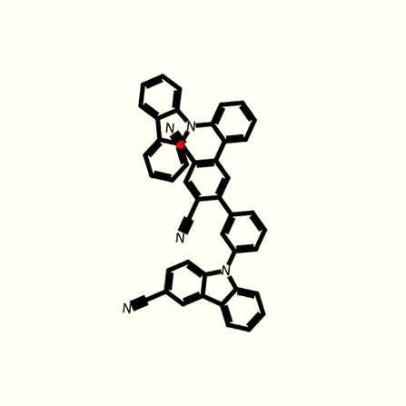 N#Cc1ccc2c(c1)c1ccccc1n2-c1cccc(-c2cc(-c3ccccc3-n3c4ccccc4c4ccccc43)c(C#N)cc2C#N)c1